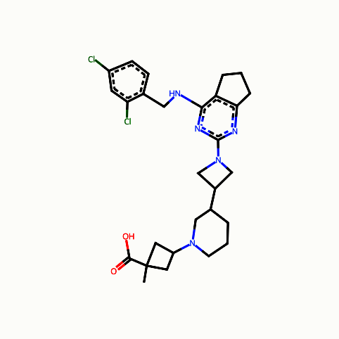 CC1(C(=O)O)CC(N2CCCC(C3CN(c4nc5c(c(NCc6ccc(Cl)cc6Cl)n4)CCC5)C3)C2)C1